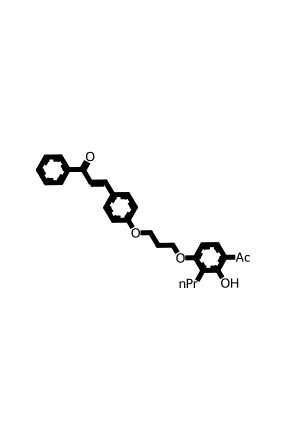 CCCc1c(OCCCOc2ccc(/C=C/C(=O)c3ccccc3)cc2)ccc(C(C)=O)c1O